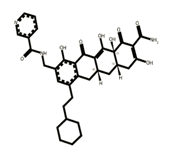 NC(=O)C1=C(O)C[C@@H]2C[C@@H]3Cc4c(CCC5CCCCC5)cc(CNC(=O)c5cccnc5)c(O)c4C(=O)C3=C(O)[C@]2(O)C1=O